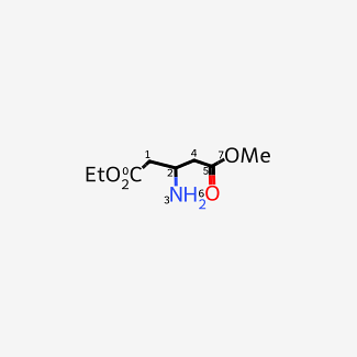 CCOC(=O)CC(N)CC(=O)OC